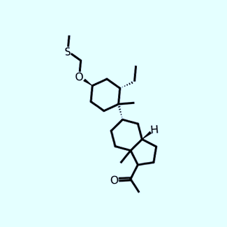 CC[C@H]1C[C@H](OCSC)CCC1(C)[C@H]1CCC2(C)C(C(C)=O)CC[C@H]2C1